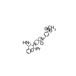 CC(C)C(=O)C([C@@H]1CNC[C@@H]1c1ccccc1)N1CCC2(CCN(Cc3ccc(S(C)(=O)=O)cc3)C2=O)CC1